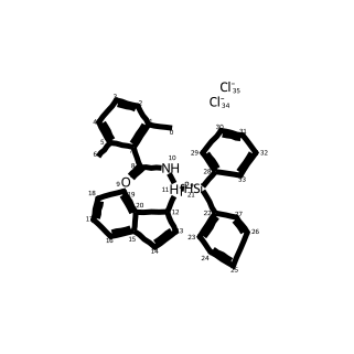 Cc1cccc(C)c1C(=O)[NH][Hf+2]([CH]1C=Cc2ccccc21)[SiH](c1ccccc1)c1ccccc1.[Cl-].[Cl-]